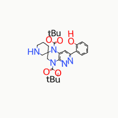 CC(C)(C)OC(=O)N1CC2(CCCNC2)N(C(=O)OC(C)(C)C)c2cc(-c3ccccc3O)nnc21